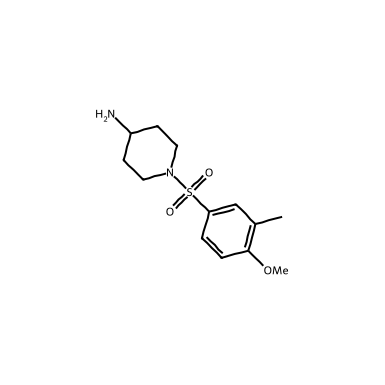 COc1ccc(S(=O)(=O)N2CCC(N)CC2)cc1C